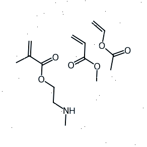 C=C(C)C(=O)OCCNC.C=CC(=O)OC.C=COC(C)=O